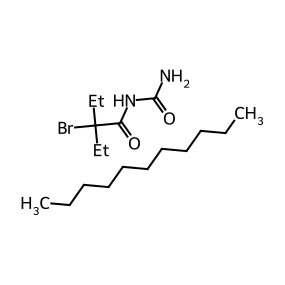 CCC(Br)(CC)C(=O)NC(N)=O.CCCCCCCCCCC